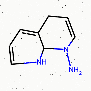 NN1C=CCC2=CC=CNC21